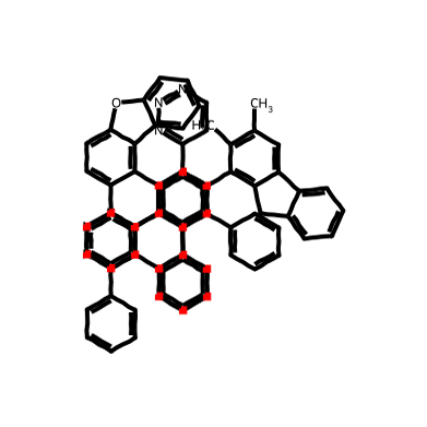 Cc1cc2c(c(-c3c(-c4ccccc4)c(-c4ccccc4)c(-c4nnnc(-c5ccccc5)c4-c4ccccc4-c4ccccc4)c(-c4c(-c5ccccc5-c5ccccc5)ccc5oc6ccccc6c45)c3-c3ccnnn3)c1C)Cc1ccccc1-2